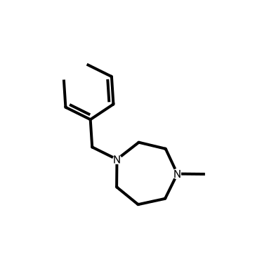 C/C=C\C(=C/C)CN1CCCN(C)CC1